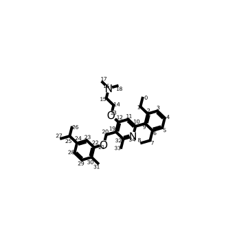 CCc1cccc(CC)c1-c1cc(OCCN(C)C)c(COc2cc(C(C)C)ccc2C)c(C)n1